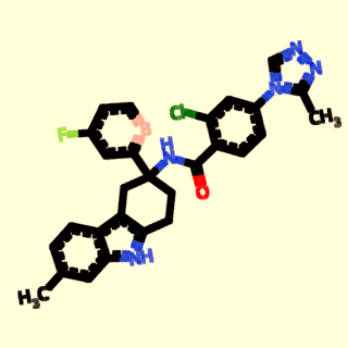 Cc1ccc2c3c([nH]c2c1)CCC(NC(=O)c1ccc(-n2cnnc2C)cc1Cl)(c1bccc(F)c1)C3